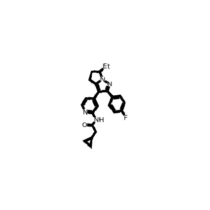 CCC1CCc2c(-c3ccnc(NC(=O)CC4CC4)c3)c(-c3ccc(F)cc3)nn21